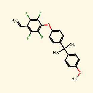 C=Cc1c(F)c(F)c(Oc2ccc(C(C)(C)c3ccc(OC)cc3)cc2)c(F)c1F